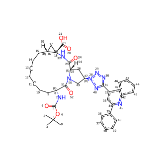 CC(C)(C)OC(=O)N[C@@H]1CCCCCCC[C@@H]2C[C@]2(C(=O)O)NC(=O)[C@@H]2C[C@@H](n3nnc(-c4cc(-c5ccccc5)nc5ccccc45)n3)CN2C1=O